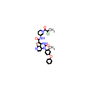 C=C(Cl)C(=O)N1C=C(NC(=O)c2sc3nccc4c3c2NC(=O)N4c2ccc(Oc3ccccc3)cc2C)CCC1